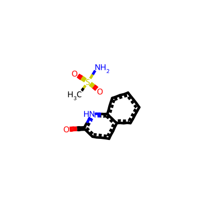 CS(N)(=O)=O.O=c1ccc2ccccc2[nH]1